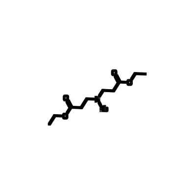 CCOC(=O)CC[N]([Rb])CCC(=O)OCC